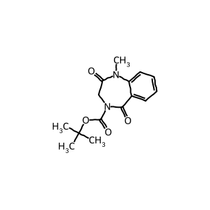 CN1C(=O)CN(C(=O)OC(C)(C)C)C(=O)c2ccccc21